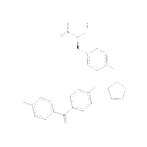 CO[C@@H](Cc1ccc(O[C@@H]2CCC[C@@H]2Oc2ccc(C(=O)c3ccc(F)cc3)cc2)cc1)C(=O)O